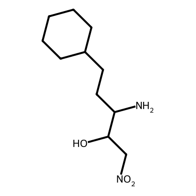 NC(CCC1CCCCC1)C(O)C[N+](=O)[O-]